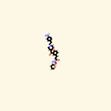 CNc1ccc(CCN2CCC3(CC2)CC(=O)c2cc(C=CC(=O)NOC4CCCCO4)ccc2O3)cc1